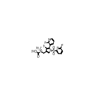 CN(Cc1cn(S(=O)(=O)c2cccc(F)n2)c(-c2cccnc2F)c1F)C(=O)O